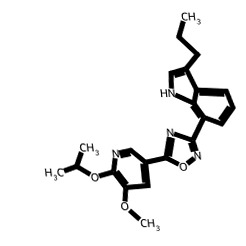 CCCc1c[nH]c2c(-c3noc(-c4cnc(OC(C)C)c(OC)c4)n3)cccc12